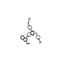 O=CC=CN1CCN(c2nc(OC3CCN(C4CC4)CC3)nc3c2CCN(c2cc(O)cc4ccccc24)C3)CC1